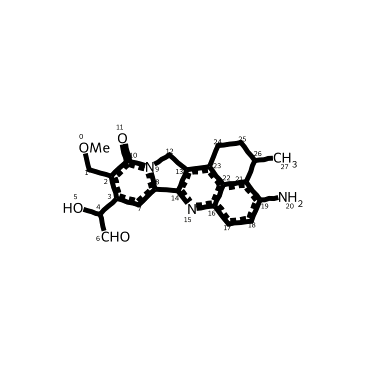 COCc1c(C(O)C=O)cc2n(c1=O)Cc1c-2nc2ccc(N)c3c2c1CCC3C